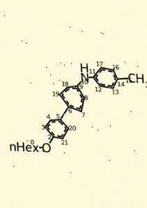 CCCCCCOc1ccc(-c2ccc(Nc3ccc(C)cc3)cc2)cc1